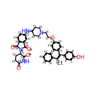 CCC(=C(c1ccc(O)cc1)c1ccc(OCCN2CCC(Nc3ccc4c(c3)C(=O)N(C3CCC(=O)NC3=O)C4=O)CC2)cc1)c1ccccc1